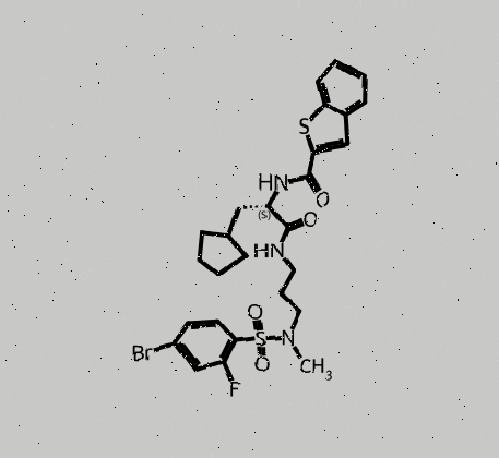 CN(CCCNC(=O)[C@H](CC1CCCC1)NC(=O)c1cc2ccccc2s1)S(=O)(=O)c1ccc(Br)cc1F